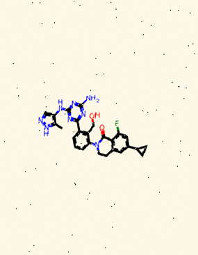 Cc1[nH]ncc1Nc1nc(N)nc(-c2cccc(N3CCc4cc(C5CC5)cc(F)c4C3=O)c2CO)n1